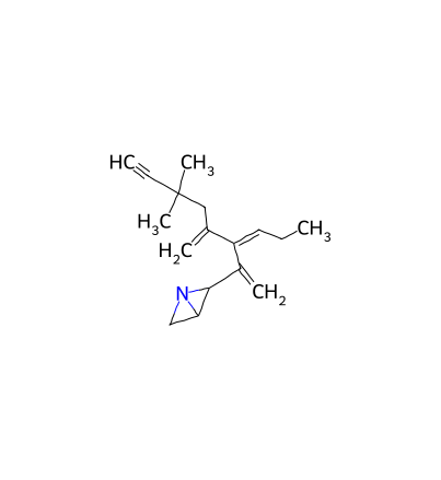 C#CC(C)(C)CC(=C)/C(=C/CC)C(=C)C1C2CN21